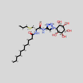 [CH2][CH]CSC[C@@H](NC(=O)CCCCCCCCCC)C(=O)Nc1cn([C@@H]2[C@H](O)[C@H](O)[C@@H](O)[C@H](O)[C@H]2O)nn1